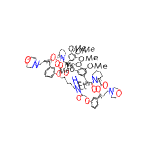 CC[C@H](C(=O)N1CCCC[C@H]1C(=O)O[C@H](CCN1CCOCC1)c1cccc(OCC(=O)CCCNC(=O)COc2cccc([C@@H](CCN3CCOCC3)OC(=O)[C@@H]3CCCCN3C(=O)[C@@H](CC)c3cc(OC)c(OC)c(OC)c3)c2)c1)c1cc(OC)c(OC)c(OC)c1